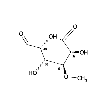 CO[C@@H]([C@H](O)[C@@H](O)C=O)[C@H](O)[C]=O